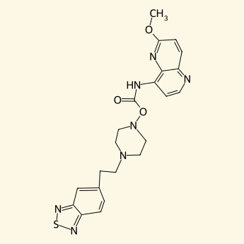 COc1ccc2nccc(NC(=O)ON3CCN(CCc4ccc5nsnc5c4)CC3)c2n1